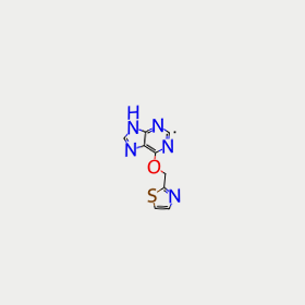 [c]1nc(OCc2nccs2)c2nc[nH]c2n1